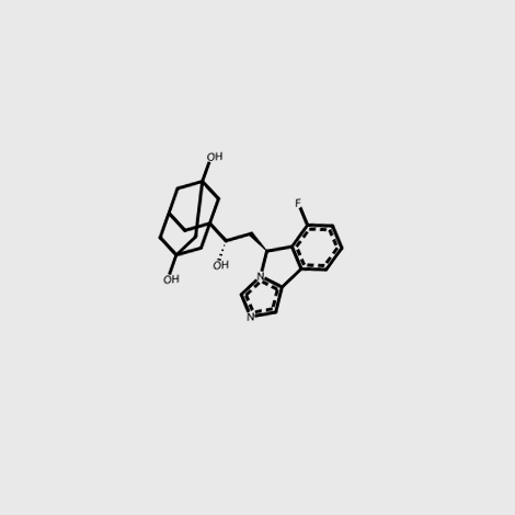 O[C@@H](C[C@H]1c2c(F)cccc2-c2cncn21)C12CC3CC(O)(CC(O)(C3)C1)C2